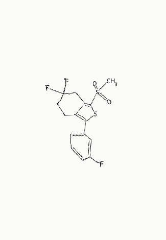 CS(=O)(=O)c1sc(-c2cccc(F)c2)c2c1CC(F)(F)CC2